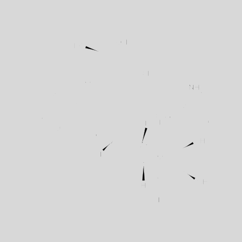 CO[C@H]1C[C@H]2C=C[C@H]3[C@H]4O[C@]2(/C(C)=C/[C@@H](C)[C@@H]([C@@H](C)O)OC1=O)[C@@H]3[C@H](OC(N)=O)[C@@H](C)[C@H]4O